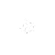 O=c1oc(=O)c2c(C(O)(C(F)(F)F)C(F)(F)F)c3c(=O)oc(=O)c3cc12